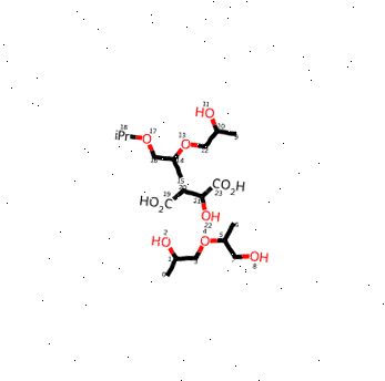 CC(O)COC(C)CO.CC(O)COC(C)COC(C)C.O=C(O)CC(O)C(=O)O